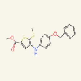 COC(=O)c1cc(Nc2ccc(OCc3ccccc3)cc2)c(SC)s1